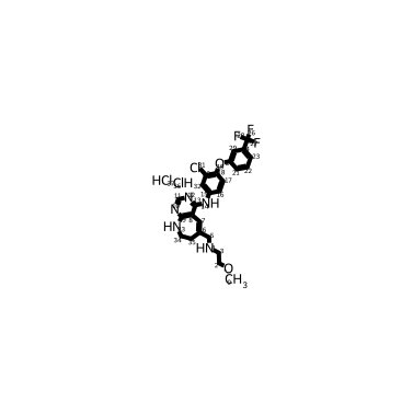 COCCNCC1=Cc2c(ncnc2Nc2ccc(Oc3cccc(C(F)(F)F)c3)c(Cl)c2)NCC1.Cl.Cl